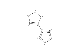 c1csc(C2=NCCC2)c1